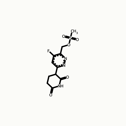 CS(=O)(=O)OCc1nnc(C2CCC(=O)NC2=O)cc1F